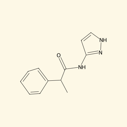 CC(C(=O)Nc1cc[nH]n1)c1ccccc1